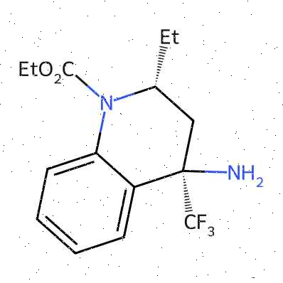 CCOC(=O)N1c2ccccc2[C@@](N)(C(F)(F)F)C[C@H]1CC